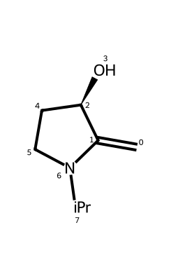 C=C1[C@H](O)CCN1C(C)C